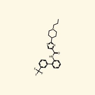 CCCN1CCC(c2nc(C(=O)Nc3ccccc3-c3cccc(C(F)(F)F)c3)cs2)CC1